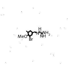 COc1c(C)cc(/C=N/NC(=N)N)cc1Br